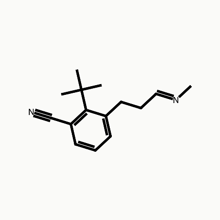 CN=CCCc1cccc(C#N)c1C(C)(C)C